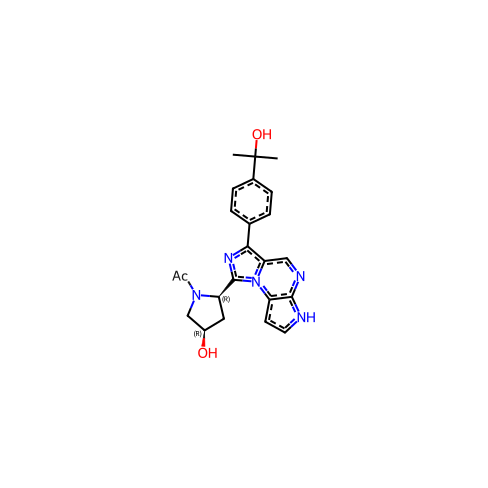 CC(=O)N1C[C@H](O)C[C@@H]1c1nc(-c2ccc(C(C)(C)O)cc2)c2cnc3[nH]ccc3n12